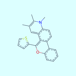 CC1=C(C)N(C)c2ccc3c(c2=C1)=C(c1cccs1)Oc1ccccc1-3